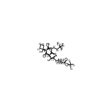 Cc1c(CNNC(=O)OC(C)(C)C)sc2c1c(=O)n(C1(C)CCC1)c(=O)n2CCC(F)(F)F